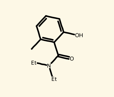 CCN(CC)C(=O)c1c(C)cccc1O